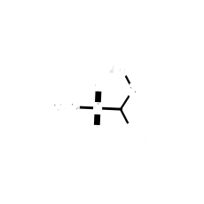 [CH2]C(NCCCC)S(=O)(=O)NC